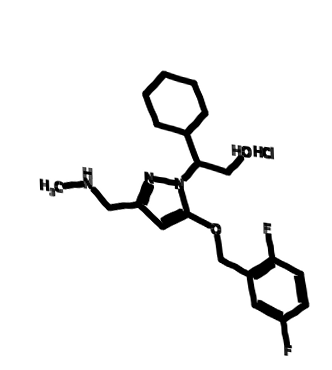 CNCc1cc(OCc2cc(F)ccc2F)n(C(CO)C2CCCCC2)n1.Cl